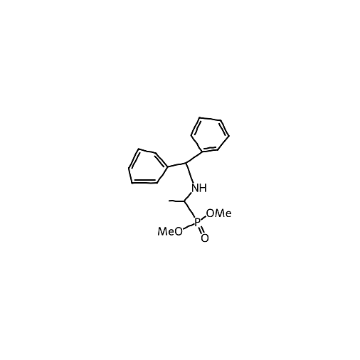 COP(=O)(OC)C(C)NC(c1ccccc1)c1ccccc1